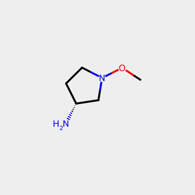 CON1CC[C@@H](N)C1